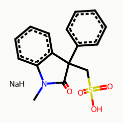 CN1C(=O)C(CS(=O)(=O)O)(c2ccccc2)c2ccccc21.[NaH]